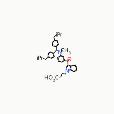 CC(C)Cc1ccc(C(c2ccc(CC(C)C)cc2)N(C)c2cccc(C(=O)c3cn(CCCC(=O)O)c4ccccc34)c2)cc1